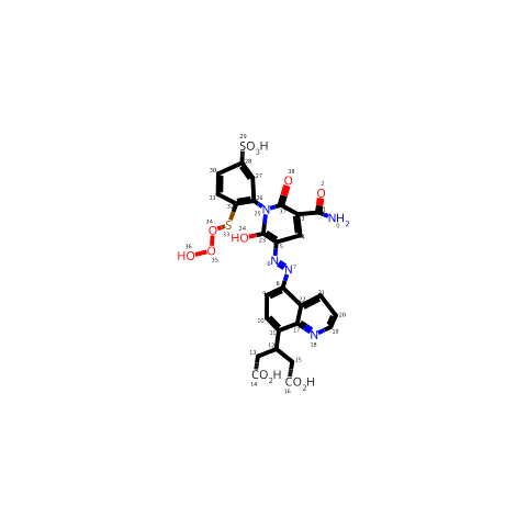 NC(=O)c1cc(N=Nc2ccc(C(CC(=O)O)CC(=O)O)c3ncccc23)c(O)n(-c2cc(S(=O)(=O)O)ccc2SOOO)c1=O